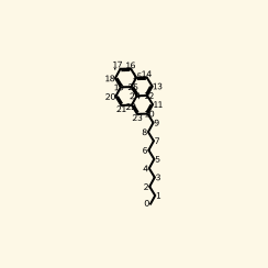 CCCCCCCCCCc1cc2ccc3c[c]cc4ccc(c1)c2c34